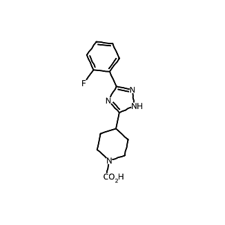 O=C(O)N1CCC(c2nc(-c3ccccc3F)n[nH]2)CC1